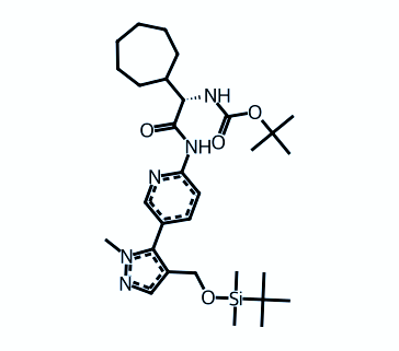 Cn1ncc(CO[Si](C)(C)C(C)(C)C)c1-c1ccc(NC(=O)[C@@H](NC(=O)OC(C)(C)C)C2CCCCCC2)nc1